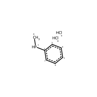 CPc1ccccc1.Cl.Cl